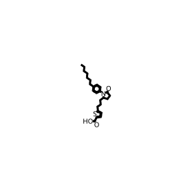 CCCCCCCc1ccc(N2C(=O)CCC2CCCc2ccc(C(=O)O)s2)cc1